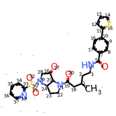 CC(CCNC(=O)c1ccc(-c2cccs2)cc1)CC(=O)N1CCC2C1C(=O)CN2S(=O)(=O)c1ccccn1